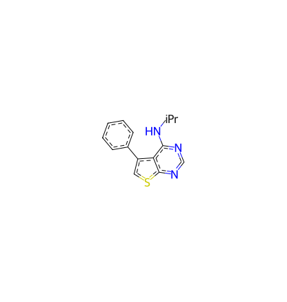 CC(C)Nc1ncnc2scc(-c3ccccc3)c12